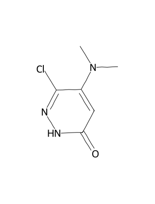 CN(C)c1cc(=O)[nH]nc1Cl